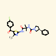 CC(C)(NC(=O)N1CC[C@@H](c2ccccc2)C1)C(=O)Nc1nc(C(F)(F)F)c(C(=O)c2ccc(F)cc2)s1